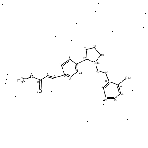 COC(=O)C=Cc1ccc(C2CCCN2CCc2ccccc2F)cc1